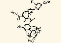 COc1ccc(-c2cc3cc(C(=O)OC(C)C)c(C)c(C(C)c4cc(O)c5c6c4C[C@@H]4[C@@H]7C=C[C@H](O)[C@H](O5)[C@]67CCN4C)n3c2)c(F)c1